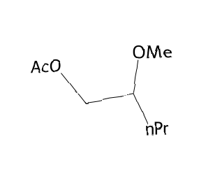 CCCC(COC(C)=O)OC